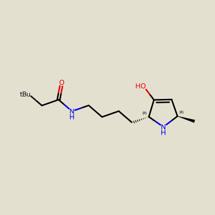 C[C@@H]1C=C(O)[C@@H](CCCCNC(=O)CC(C)(C)C)N1